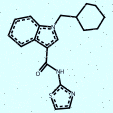 O=C(Nc1nccs1)c1cn(CC2CCCCC2)c2ccccc12